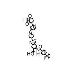 CC(C)(O)c1cc2nc(C3CCN(Cc4ccnc(C5CCC(=O)NC5=O)c4)CC3)sc2cc1NC(=O)c1ccc(C(F)(F)F)nc1